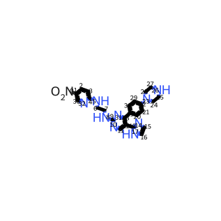 O=[N+]([O-])c1ccc(NCCNc2ncc(-c3ncc[nH]3)c(-c3ccc(N4CCNCC4)cc3)n2)nc1